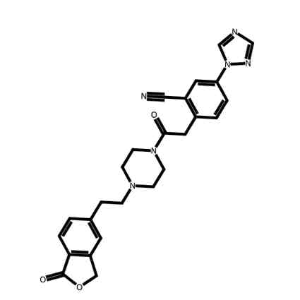 N#Cc1cc(-n2cncn2)ccc1CC(=O)N1CCN(CCc2ccc3c(c2)COC3=O)CC1